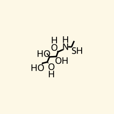 CC(S)NC[C@H](O)[C@@H](O)[C@H](O)[C@H](O)CO